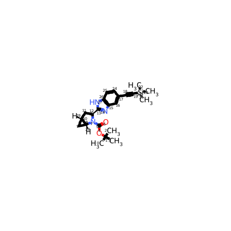 CC(C)(C)OC(=O)N1[C@@H]2C[C@@H]2C[C@H]1c1nc2cc(C#C[Si](C)(C)C)ccc2[nH]1